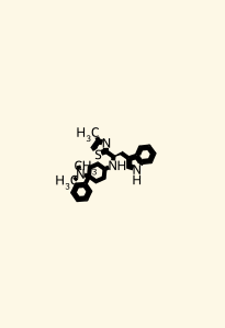 Cc1csc([C@@H](Cc2c[nH]c3ccccc23)NC2CCC(c3ccccc3)(N(C)C)CC2)n1